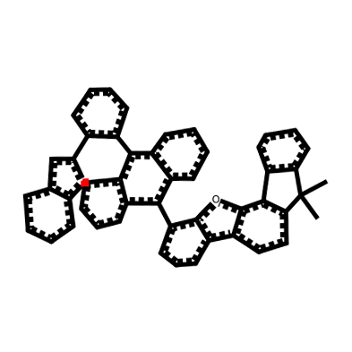 CC1(C)c2ccccc2-c2c1ccc1c2oc2c(-c3c4ccccc4c(-c4ccccc4-c4cc5ccccc5s4)c4ccccc34)cccc21